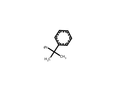 C[C](C)C(C)(C)c1ccccc1